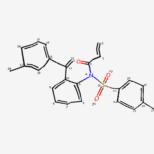 C=CC(=O)N(c1ccccc1C(=C)c1cccc(C)c1)S(=O)(=O)c1ccc(C)cc1